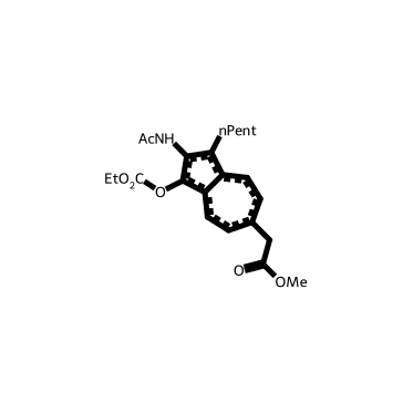 CCCCCc1c2ccc(CC(=O)OC)ccc-2c(OC(=O)OCC)c1NC(C)=O